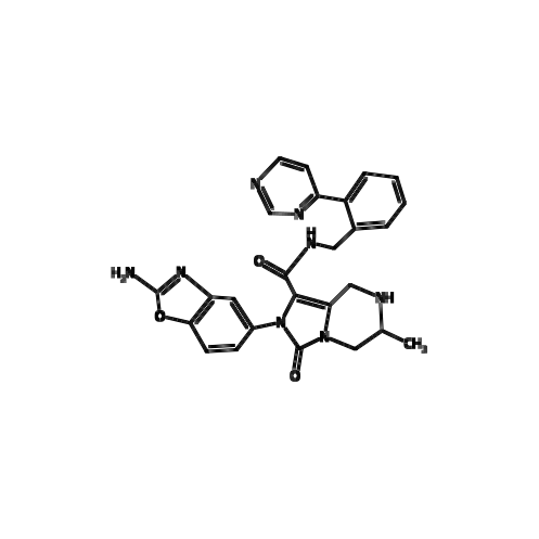 CC1Cn2c(c(C(=O)NCc3ccccc3-c3ccncn3)n(-c3ccc4oc(N)nc4c3)c2=O)CN1